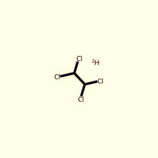 ClC(Cl)C(Cl)Cl.[2H]